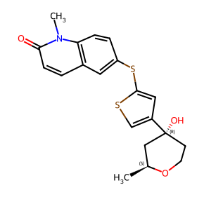 C[C@H]1C[C@@](O)(c2csc(Sc3ccc4c(ccc(=O)n4C)c3)c2)CCO1